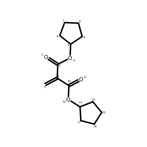 C=C(C(=O)OC1CCCC1)C(=O)OC1CCCC1